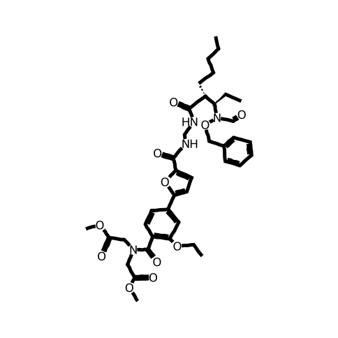 CCCCC[C@@H](C(=O)NCNC(=O)c1ccc(-c2ccc(C(=O)N(CC(=O)OC)CC(=O)OC)c(OCC)c2)o1)[C@@H](CC)N(C=O)OCc1ccccc1